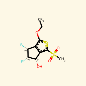 CS(=O)(=O)c1sc(OCC(F)(F)F)c2c1[C@H](O)[C@H](F)[C@@H]2F